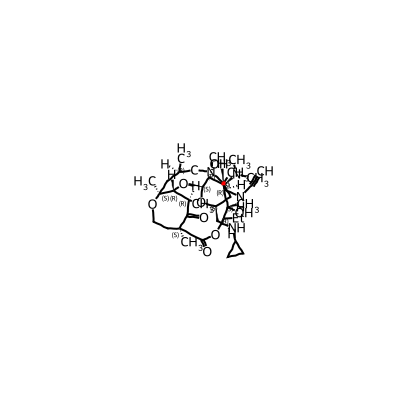 C#CN[C@@H]1[C@@H](C)N(C)C[C@H](C)C[C@]2(C)OCC[C@](C)(C(=O)O[C@H](CC)[C@@]1(C)O)C(=O)[C@H](C)[C@H]2O[C@@H]1O[C@H](CNC2CC2)C[C@H](N(C)C)[C@H]1O